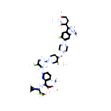 C[C@H]1CN(c2ncc(Cl)c(Nc3ccc4c(c3)c3c(c(=O)n4C)OCC(F)(F)C(C4CC4)N3)n2)CC[C@H]1CN1CCN(c2cc3c(cc2F)c(C2CCC(=O)NC2=O)nn3C)CC1